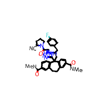 CNC(=O)c1ccc2c(c1)CCc1cc(C(=O)NC)ccc1C2(C[C@H](Cc1ccc(F)cc1)NCC(=O)N1CCC[C@H]1C#N)c1nnn[nH]1